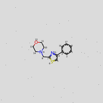 [c]1ccc(-c2csc(CN3CCOCC3)n2)cc1